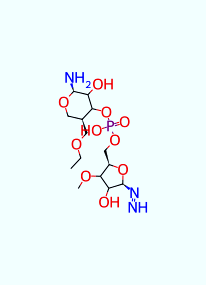 CCOC[C@H]1CO[C@@H](N)C(O)C1OP(=O)(O)OC[C@H]1O[C@@H](N=N)C(O)C1OC